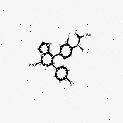 COC(=O)N(C)c1ccc(-c2c(-c3ccc(C#N)cc3)nc(OC)n3ccnc23)cc1F